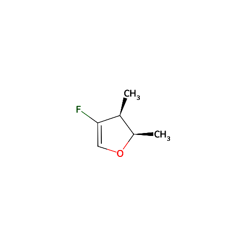 C[C@@H]1C(F)=CO[C@@H]1C